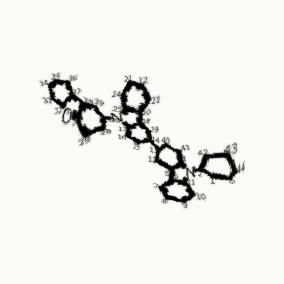 C1=CC(n2c3c(c4ccccc42)=CC(c2ccc4c(c2)c2ccccc2n4-c2ccc4oc5ccccc5c4c2)CC=3)=CCC1